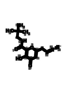 CC(C)(N)CNC(=O)c1oc(CN=[N+]=[N-])cc(=O)c1O